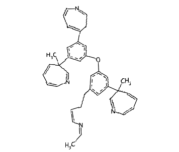 C/C=N\C=C/CCc1cc(Oc2cc(C3=CC=CN=CC3)cc(C3(C)C=CC=CN=C3)c2)cc(C2(C)C=CC=CN=C2)c1